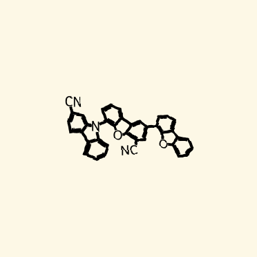 N#Cc1ccc2c3ccccc3n(-c3cccc4c3oc3c(C#N)cc(-c5cccc6c5oc5ccccc56)cc34)c2c1